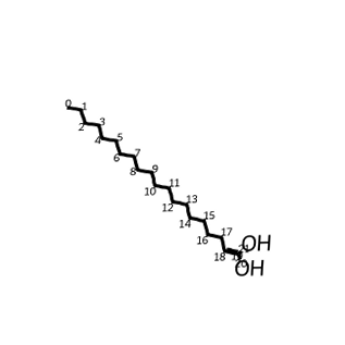 CCCCCCCCCCCCCCCCCCC=C(O)O